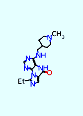 CCc1ncc2c(=O)[nH]c3c(NCC4CCN(C)CC4)ncnc3n12